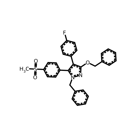 CS(=O)(=O)c1ccc(-c2c(-c3ccc(F)cc3)c(OCc3ccccc3)nn2Cc2ccccc2)cc1